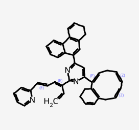 C=C/C(=C\C=C\c1ccccn1)c1nc(/C2=C/C/C=C\C=C/CC3=C2CCC=C3)cc(-c2cc3c(c4ccccc24)C=CCC3)n1